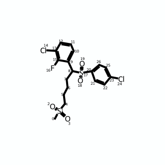 CS(=O)(=O)CCCCC(c1cccc(Cl)c1F)S(=O)(=O)c1ccc(Cl)cc1